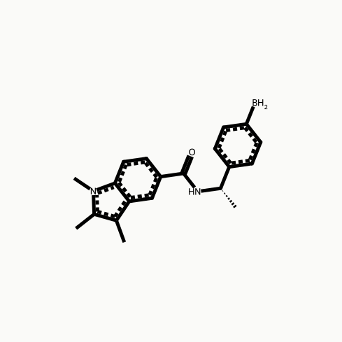 Bc1ccc([C@H](C)NC(=O)c2ccc3c(c2)c(C)c(C)n3C)cc1